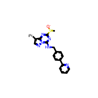 CC(C)c1cnn2c(NCc3ccc(-c4ccccn4)cc3)nc([S+](C)[O-])nc12